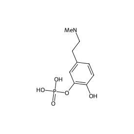 CNCCc1ccc(O)c(OP(=O)(O)O)c1